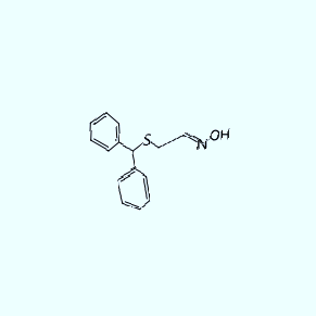 ON=CCSC(c1ccccc1)c1ccccc1